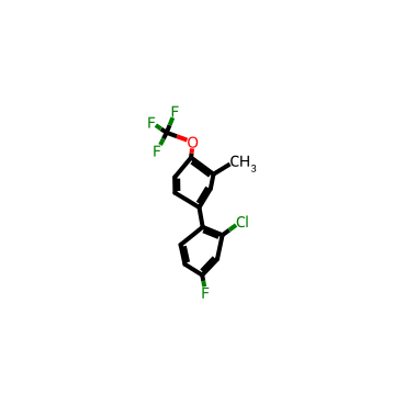 Cc1cc(-c2ccc(F)cc2Cl)ccc1OC(F)(F)F